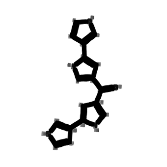 O=C(c1csc(-c2ccoc2)c1)c1csc(-c2ccoc2)c1